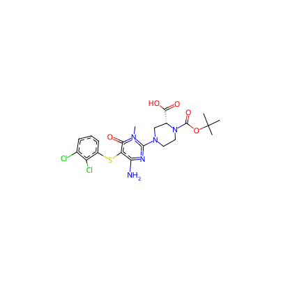 Cn1c(N2CCN(C(=O)OC(C)(C)C)[C@@H](C(=O)O)C2)nc(N)c(Sc2cccc(Cl)c2Cl)c1=O